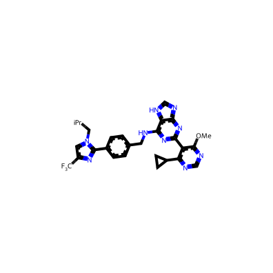 COc1ncnc(C2CC2)c1-c1nc(NCc2ccc(-c3nc(C(F)(F)F)cn3CC(C)C)cc2)c2[nH]cnc2n1